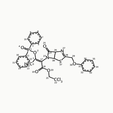 CC(OP(=O)(c1ccccc1)c1ccccc1)=C(C(=O)OCC(Cl)(Cl)Cl)N1C(=O)C2N=C(COc3ccccc3)SC21